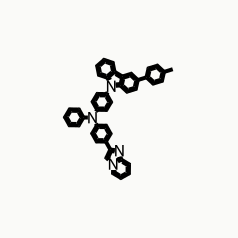 Cc1ccc(-c2ccc3c(c2)c2ccccc2n3-c2ccc(N(c3ccccc3)c3ccc(-c4cn5ccccc5n4)cc3)cc2)cc1